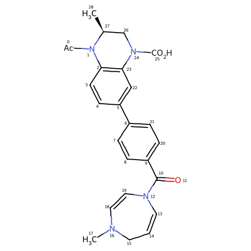 CC(=O)N1c2ccc(-c3ccc(C(=O)N4C=CCN(C)C=C4)cc3)cc2N(C(=O)O)C[C@@H]1C